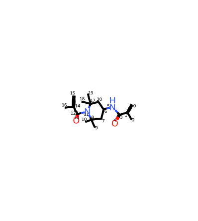 C=C(C)C(=O)NC1CC(C)(C)N(C(=O)C(=C)C)C(C)(C)C1